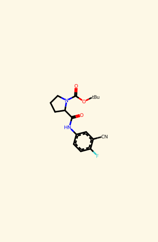 CC(C)(C)OC(=O)N1CCCC1C(=O)Nc1ccc(F)c(C#N)c1